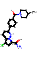 COC1CCN(C(=O)c2ccc(-c3ccc4c(Cl)cc(C(N)=O)n4n3)cc2)CC1